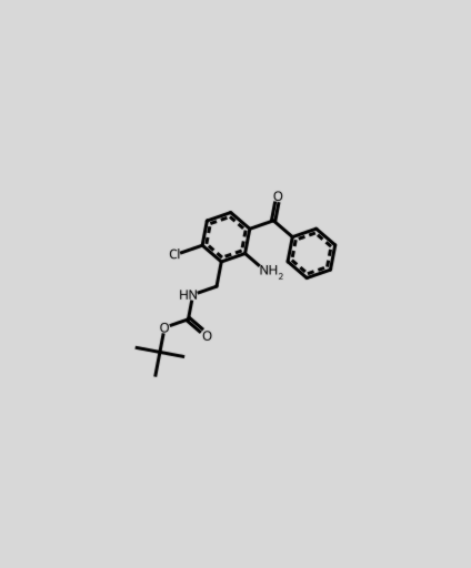 CC(C)(C)OC(=O)NCc1c(Cl)ccc(C(=O)c2ccccc2)c1N